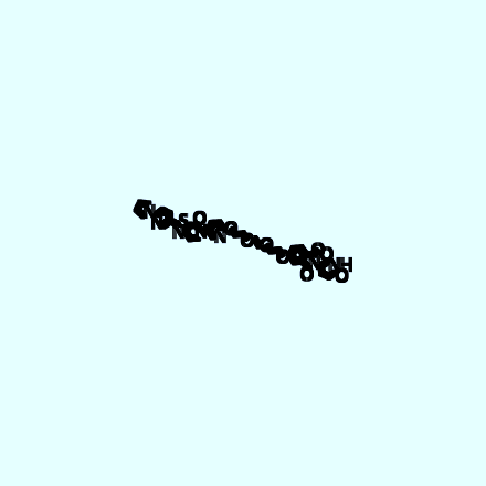 O=C1CCC(N2C(=O)c3ccc(OCCOCCOCCOc4ccc(N5CCc6nc(-c7ccc(N8CCCC8)nc7)sc6C5=O)cn4)cc3C2=O)C(=O)N1